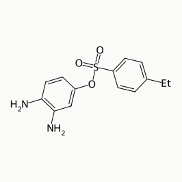 CCc1ccc(S(=O)(=O)Oc2ccc(N)c(N)c2)cc1